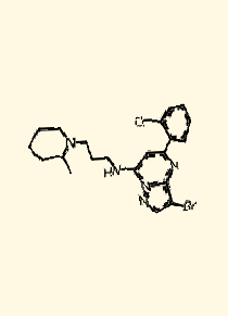 CC1CCCCN1CCCNc1cc(-c2ccccc2Cl)nc2c(Br)cnn12